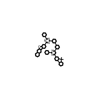 CC1(C)c2ccccc2-c2ccc(-c3cc(-c4cccc(-c5cccc(-c6nc(-c7ccccc7)nc(-c7ccc8c(c7)oc7cc9ccccc9cc78)n6)c5)c4)nc(-c4ccccc4)n3)cc21